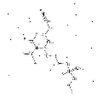 CCOP(C)(=O)OCCOC(OCCC#N)N(C(C)C)C(C)C